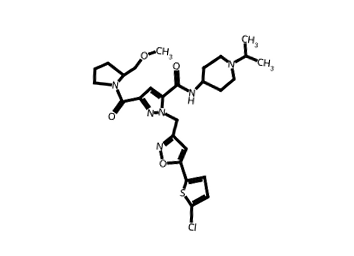 COCC1CCCN1C(=O)c1cc(C(=O)NC2CCN(C(C)C)CC2)n(Cc2cc(-c3ccc(Cl)s3)on2)n1